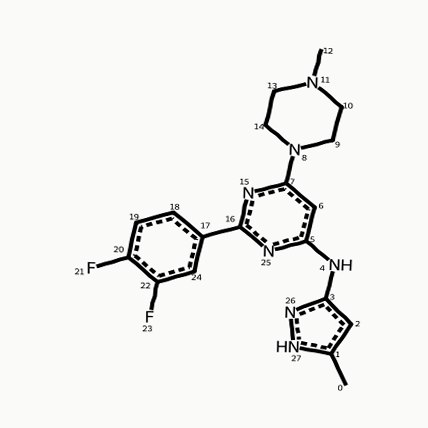 Cc1cc(Nc2cc(N3CCN(C)CC3)nc(-c3ccc(F)c(F)c3)n2)n[nH]1